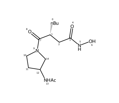 CCCC[C@H](CC(=O)NO)C(=O)N1CCC(NC(C)=O)C1